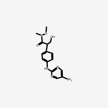 Bc1cnc(Nc2ccc(C(CO)C(=O)N(C)OC)cc2)nc1